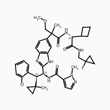 COCC(C)(C(=O)N[C@@H](C(=O)NCC1(F)CC1)C1CCC1)c1ccc2nc([C@@H](NC(=O)c3ccnn3C)[C@H](c3ccccc3Cl)C3(C)CC3)[nH]c2c1